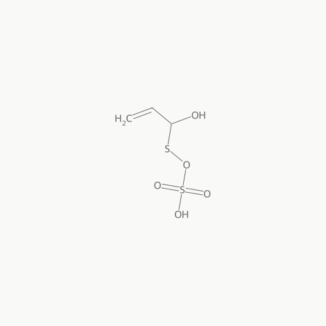 C=CC(O)SOS(=O)(=O)O